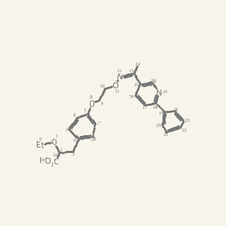 CCOC(Cc1ccc(OCCON=C(C)c2ccc(-c3ccccc3)nc2)cc1)C(=O)O